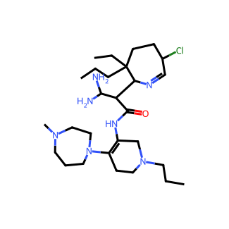 CCCN1CCC(N2CCCN(C)CC2)=C(NC(=O)C(C(N)N)C2N=CC(Cl)CCC2(CC)CCC)C1